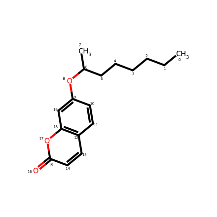 CCCCCCC(C)Oc1ccc2ccc(=O)oc2c1